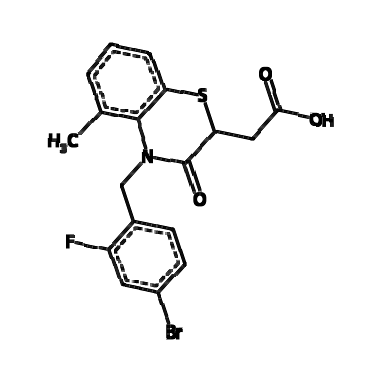 Cc1cccc2c1N(Cc1ccc(Br)cc1F)C(=O)C(CC(=O)O)S2